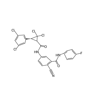 N#Cc1ccc(NC(=O)C2[C@@H](c3cc(Cl)cc(Cl)c3)C2(Cl)Cl)cc1C(=O)Nc1ccc(F)cc1